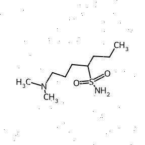 CCCC(CCCN(C)C)S(N)(=O)=O